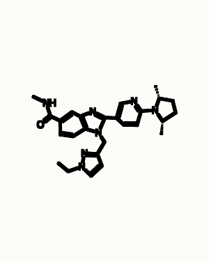 CCn1ccc(Cn2c(-c3ccc(N4[C@H](C)CC[C@@H]4C)nc3)nc3cc(C(=O)NC)ccc32)n1